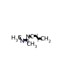 C=CC=C=N/C(C)=N\C